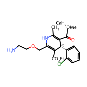 CCOC(=O)C1=C(COCCN)NC(C)=C(C(=O)OC)[C@@H]1c1ccccc1Cl.[CaH2]